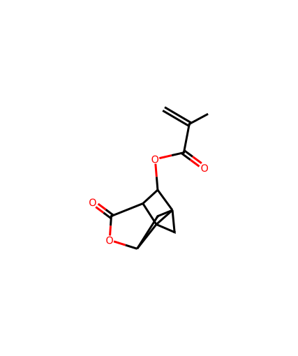 C=C(C)C(=O)OC1C2C(=O)OC3CC14CC324